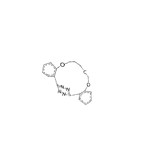 c1ccc2c(c1)OCCCCCOc1ccccc1-c1nnc-2nn1